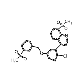 CS(=O)(=O)c1cccc(COc2ccc(Cl)c(-c3ccnc4c(S(C)(=O)=O)cccc34)c2)c1